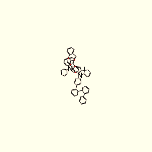 CC1(c2ccc3c(c2)c2ccccc2n3-c2ccccc2)CC=CC=C1N(c1ccc(-c2ccccc2-c2ccccc2-c2ccccc2)cc1)c1ccc(-c2cccc3c2ccc2ccccc23)cc1